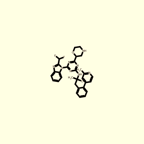 Cc1cc(-c2ccccc2CC(C)(C)Nc2nc(C3CNCCO3)nc(-n3c(C(F)F)nc4ccccc43)n2)ccn1